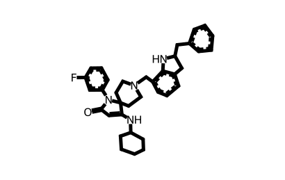 O=C1C=C(NC2CCCCC2)C2(CCN(Cc3cccc4c3NC(Cc3ccccc3)C4)CC2)N1c1cccc(F)c1